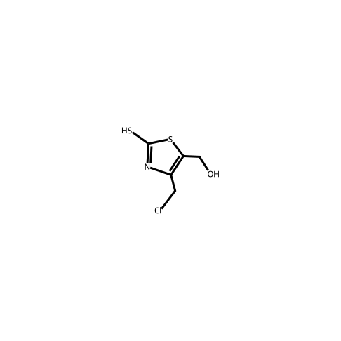 OCc1sc(S)nc1CCl